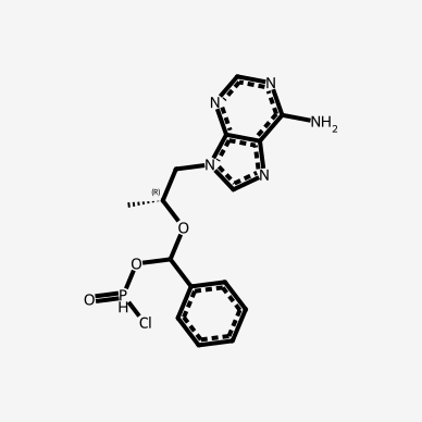 C[C@H](Cn1cnc2c(N)ncnc21)OC(O[PH](=O)Cl)c1ccccc1